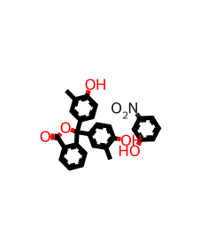 Cc1cc(C2(c3ccc(O)c(C)c3)OC(=O)c3ccccc32)ccc1O.O=[N+]([O-])c1cccc(O)c1